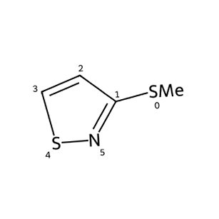 CSc1ccsn1